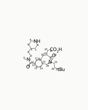 CN(CCC1CCNCC1)C(=O)c1ccc2c(c1)CC(CC(=O)O)C(=O)N(CCC(C)(C)C)C2